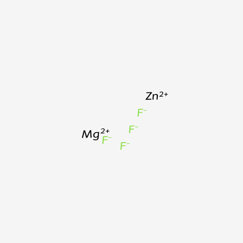 [F-].[F-].[F-].[F-].[Mg+2].[Zn+2]